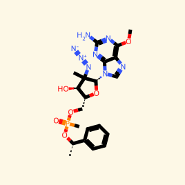 COc1nc(N)nc2c1ncn2[C@@H]1O[C@H](COP(C)(=O)O[C@@H](C)c2ccccc2)[C@@H](O)C1(C)N=[N+]=[N-]